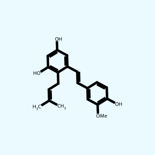 COc1cc(/C=C/c2cc(O)cc(O)c2CC=C(C)C)ccc1O